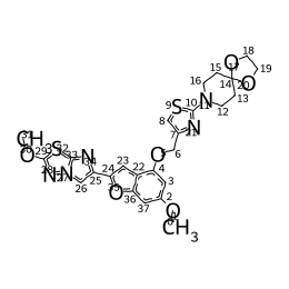 COc1cc(OCc2csc(N3CCC4(CC3)OCCO4)n2)c2cc(-c3cn4nc(OC)sc4n3)oc2c1